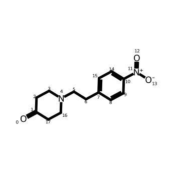 O=C1CCN(CCc2ccc([N+](=O)[O-])cc2)CC1